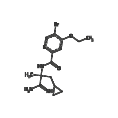 CC(CC1CC1)(NC(=O)c1cc(OCC(F)(F)F)c(Br)cn1)C(=N)N